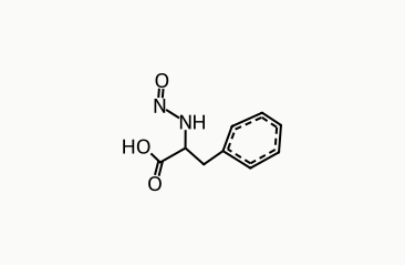 O=NNC(Cc1ccccc1)C(=O)O